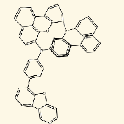 c1ccc(-c2ccc(N(c3ccc(-c4cccc5c4oc4ccccc45)cc3)c3ccc4cccc5c4c3Oc3c-5cccc3N(c3ccccc3)c3ccccc3)cc2)cc1